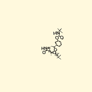 C[C@@H](O[Si](C)(C)C(C)(C)C)[C@H]1C(=O)N[C@@H]1CC(=O)c1cccc(OC(=O)NC(C)(C)C)c1